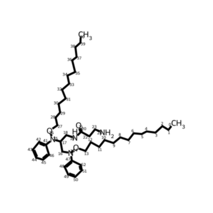 CCCCCCCCCCCCCCON(CC(CNC(=O)CCN)N(OCCCCCCCCCCCCCC)c1ccccc1)c1ccccc1